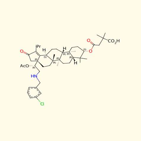 CC(=O)O[C@@H](CNCc1cccc(Cl)c1)[C@@]12CC[C@]3(C)[C@H](CC[C@@H]4[C@@]5(C)CC[C@H](OC(=O)CC(C)(C)C(=O)O)C(C)(C)[C@@H]5CC[C@]43C)C1=C(C(C)C)C(=O)C2